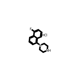 Cl.Fc1cccc2c(N3CCNCC3)cccc12